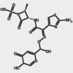 C[C@H]1[C@H](NC(=O)/C(=N\OC(O)C2=CC(=O)C(O)C=N2)c2csc(N)n2)C(=O)N1S(=O)(=O)O